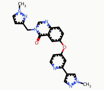 Cn1cc(-c2cc(Oc3ccc4ncn(Cc5ccn(C)n5)c(=O)c4c3)ccn2)cn1